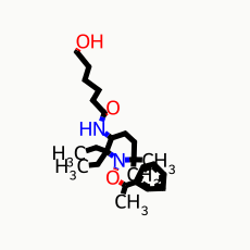 CCC1(CC)C(NC(=O)CCCCCO)CCC(C)(C)N1OC(C)c1ccccc1